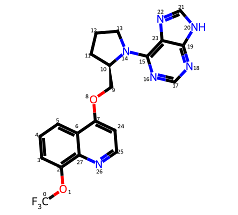 FC(F)(F)Oc1cccc2c(OC[C@H]3CCCN3c3ncnc4[nH]cnc34)ccnc12